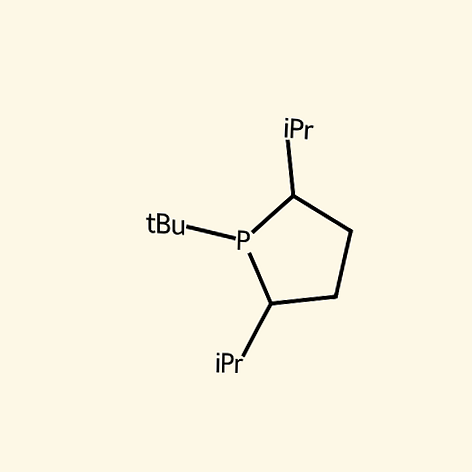 CC(C)C1CCC(C(C)C)P1C(C)(C)C